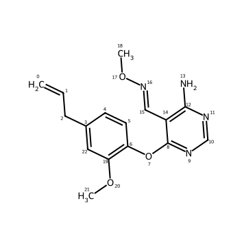 C=CCc1ccc(Oc2ncnc(N)c2C=NOC)c(OC)c1